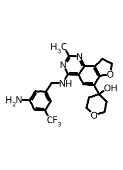 Cc1nc(NCc2cc(N)cc(C(F)(F)F)c2)c2cc(C3(O)CCOCC3)c3c(c2n1)CCO3